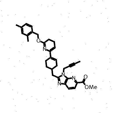 CC#CCn1c(CC2CC=C(C3=CCCC(OCc4ccc(C)cc4C)=N3)CC2)nc2ccc(C(=O)OC)nc21